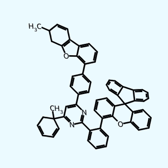 CC1C=Cc2c(oc3c(-c4ccc(-c5cc(C6(C)C=CC=CC6)nc(-c6ccccc6-c6cccc7c6Oc6ccccc6C76c7ccccc7-c7ccccc76)n5)cc4)cccc23)C1